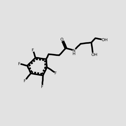 O=C(CCc1c(F)c(F)c(F)c(F)c1F)NCC(O)CO